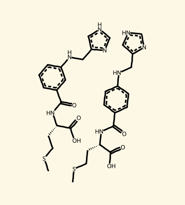 CSCC[C@H](NC(=O)c1ccc(NCc2c[nH]cn2)cc1)C(=O)O.CSCC[C@H](NC(=O)c1cccc(NCc2c[nH]cn2)c1)C(=O)O